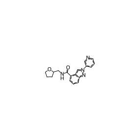 O=C(NCC1CCCO1)c1cccc2nn(-c3cccnc3)cc12